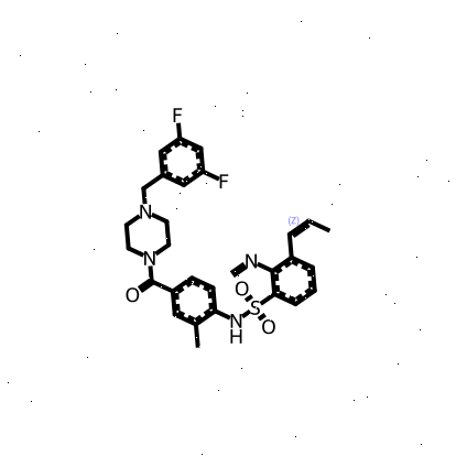 C=Nc1c(/C=C\C)cccc1S(=O)(=O)Nc1ccc(C(=O)N2CCN(Cc3cc(F)cc(F)c3)CC2)cc1C